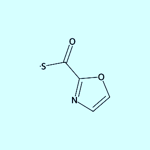 O=C([S])c1ncco1